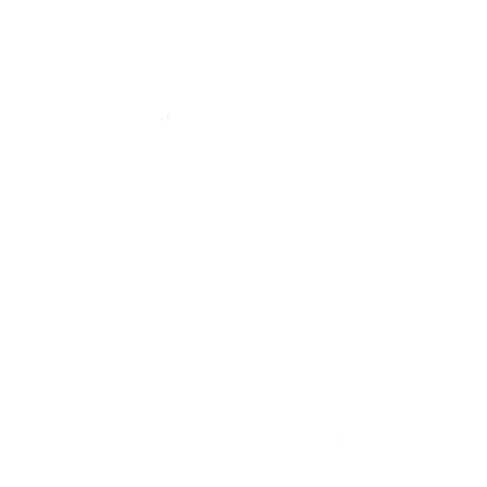 COC(=O)c1ccc(OCCCCOc2ccc(C(=O)CC3CCCC3)c(C)c2C)cc1